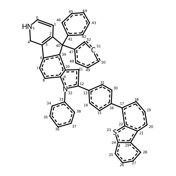 C1=CC2=C(CN1)c1ccc3c(cc(-c4ccc(-c5cccc6c5sc5ccccc56)cc4)n3-c3ccccc3)c1C2(c1ccccc1)c1ccccc1